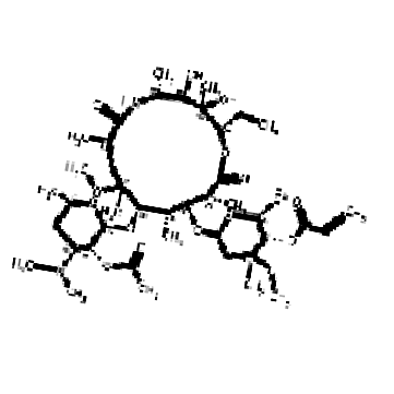 C=CC(=O)O[C@H]1[C@H](C)OC(O[C@H]2[C@H](C)[C@@H](O[C@@H]3O[C@H](C)C[C@H](N(C)C)[C@H]3OC(C)=O)[C@](C)(OC)C[C@@H](C)C(=O)N[C@H](C)[C@@H](O)[C@](C)(O)[C@@H](CC)OC(=O)[C@@H]2C)C[C@@]1(C)OC